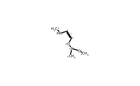 CN/C=C\ON(C)OC